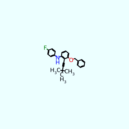 CC(C)(C)C#Cc1c(Nc2ccc(F)cc2)cccc1OCc1ccccc1